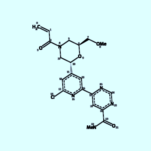 C=CC(=O)N1C[C@@H](COC)O[C@H](c2cc(Cl)nc(-c3cc(C(=O)NC)ncn3)c2)C1